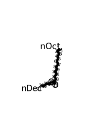 CCCCCCCCC=CCCCCCCCCCCCC(=O)OCCCCCCCCCCCCCC